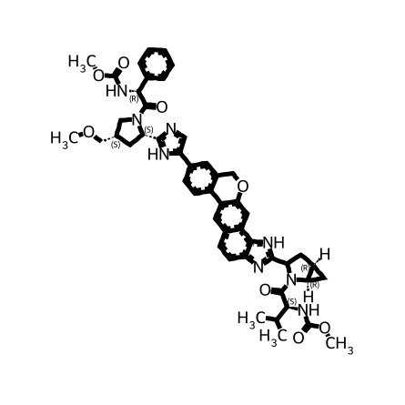 COC[C@H]1C[C@@H](c2ncc(-c3ccc4c(c3)COc3cc5c(ccc6nc(C7C[C@H]8C[C@H]8N7C(=O)[C@@H](NC(=O)OC)C(C)C)[nH]c65)cc3-4)[nH]2)N(C(=O)[C@H](NC(=O)OC)c2ccccc2)C1